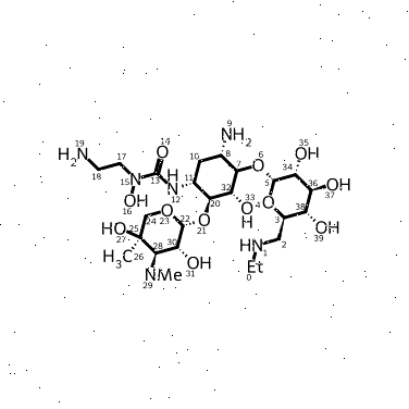 CCNC[C@H]1O[C@H](OC2[C@@H](N)C[C@@H](NC(=O)N(O)CCN)[C@H](O[C@H]3OC[C@](C)(O)[C@H](NC)[C@H]3O)[C@H]2O)[C@H](O)[C@@H](O)[C@@H]1O